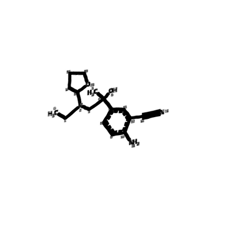 CCN(CC(C)(O)c1ccc(N)c(C#N)c1)C1CCCO1